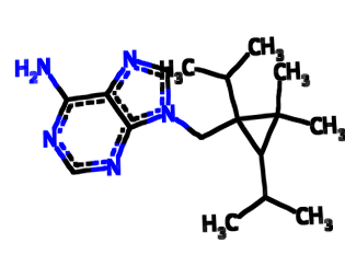 CC(C)C1C(C)(C)C1(Cn1cnc2c(N)ncnc21)C(C)C